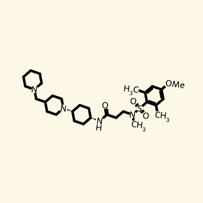 COc1cc(C)c(S(=O)(=O)N(C)CCC(=O)N[C@H]2CC[C@@H](N3CCC(CN4CCCCC4)CC3)CC2)c(C)c1